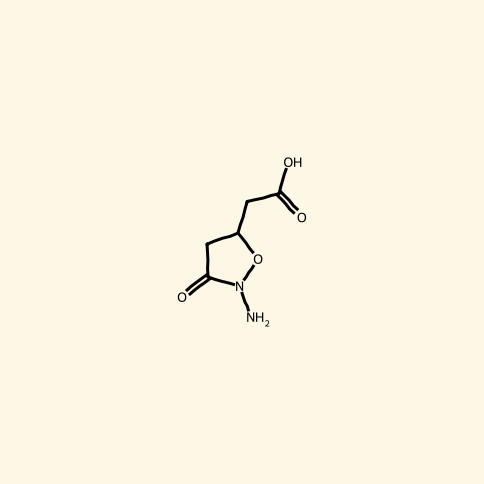 NN1OC(CC(=O)O)CC1=O